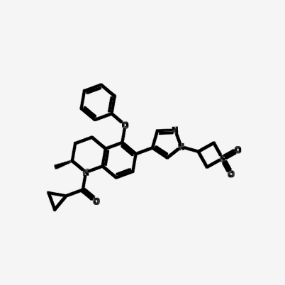 C[C@H]1CCc2c(ccc(-c3cnn(C4CS(=O)(=O)C4)c3)c2Oc2ccccc2)N1C(=O)C1CC1